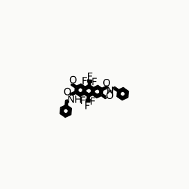 O=Cc1cc2c(C(F)(F)F)c3cc4c(cc3c(C(F)(F)F)c2cc1C(=O)NCc1ccccc1)CON(Cc1ccccc1)C4=O